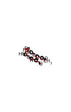 CC(=O)c1ccc(-c2ccc(OCC3CCN(C(=O)C4(C(F)(F)F)CCC4)CC3)cn2)cc1.O=CCc1ccc(-c2ccc(OCC3CCNCC3)cn2)cc1